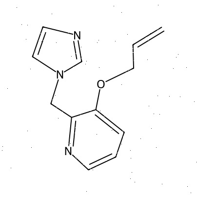 C=CCOc1cccnc1Cn1ccnc1